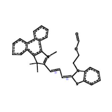 C[N+]1=C(/C=C/C=C2/Sc3ccccc3N2CCOC=O)C(C)(C)c2c1c1ccccc1c1ccccc21